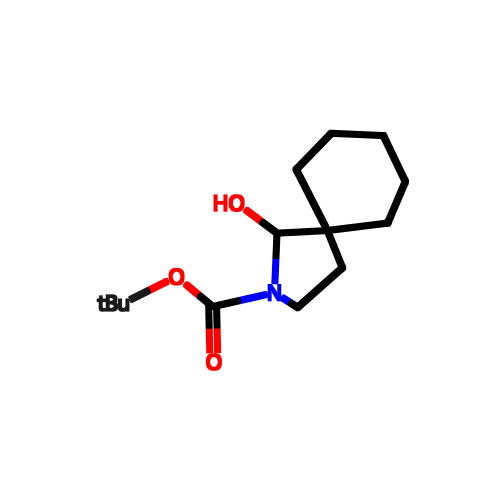 CC(C)(C)OC(=O)N1CCC2(CCCCC2)C1O